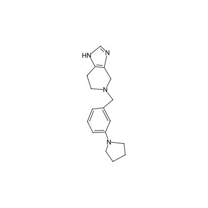 c1cc(CN2CCc3[nH]cnc3C2)cc(N2CCCC2)c1